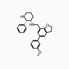 COc1cccc(-c2cc3c(c(CN[C@H]4CCCN[C@H]4c4ccccc4)c2)OCC3)c1